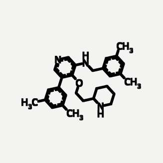 Cc1cc(C)cc(CNc2cncc(-c3cc(C)cc(C)c3)c2OCCC2CCCCN2)c1